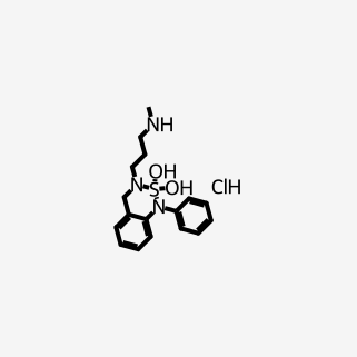 CNCCCN1Cc2ccccc2N(c2ccccc2)S1(O)O.Cl